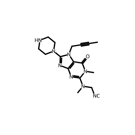 [C-]#[N+]CN(C)c1nc2nc(N3CCNCC3)n(CC#CC)c2c(=O)n1C